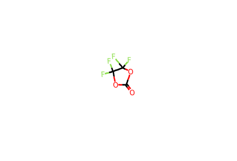 O=C1OC(F)(F)C(F)(F)O1